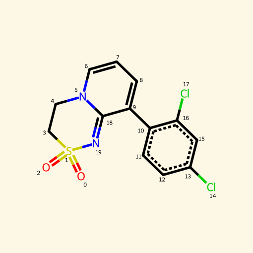 O=S1(=O)CCN2C=CC=C(c3ccc(Cl)cc3Cl)C2=N1